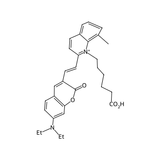 CCN(CC)c1ccc2cc(C=Cc3ccc4cccc(C)c4[n+]3CCCCCC(=O)O)c(=O)oc2c1